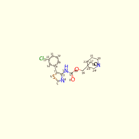 O=C(Nc1ncsc1-c1cccc(Cl)c1)OCC1CN2CCC1CC2